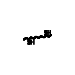 CCC(S)CCCCCCC(S)CC